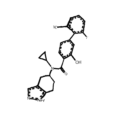 N#Cc1cccc(F)c1-c1ccc(C(=O)N(C2CC2)C2CCc3[nH]ncc3C2)c(O)c1